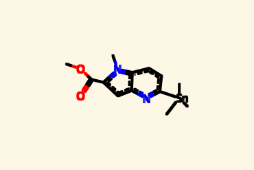 COC(=O)c1cc2n[c]([Sn]([CH3])([CH3])[CH3])ccc2n1C